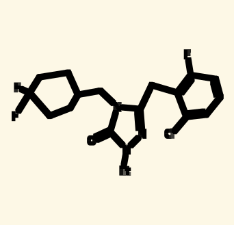 CCn1nc(Cc2c(F)cccc2Cl)n(CC2CCC(F)(F)CC2)c1=O